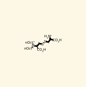 CCCCCCCCN(CCCCCCCC)[C@@H](CSSCC(N)C(=O)O)C(=O)O